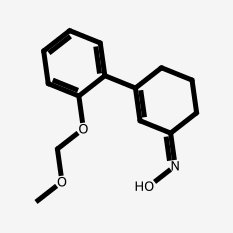 COCOc1ccccc1C1=CC(=NO)CCC1